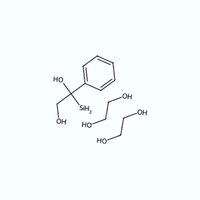 OCC(O)([SiH3])c1ccccc1.OCCO.OCCO